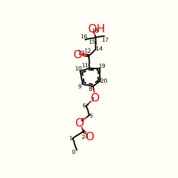 CCC(=O)OCCOc1ccc(C(=O)CC(C)(C)O)cc1